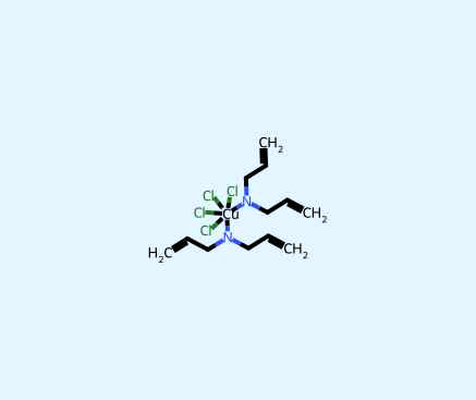 C=CC[N](CC=C)[Cu]([Cl])([Cl])([Cl])([Cl])[N](CC=C)CC=C